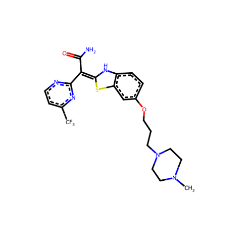 CN1CCN(CCCOc2ccc3c(c2)S/C(=C(/C(N)=O)c2nccc(C(F)(F)F)n2)N3)CC1